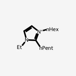 CCCCCC[n+]1ccn(CC)c1CCCCC